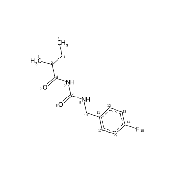 CCC(C)C(=O)NC(=O)NCc1ccc(F)cc1